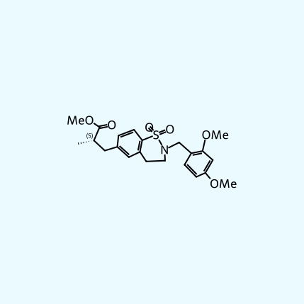 COC(=O)[C@@H](C)Cc1ccc2c(c1)CCN(Cc1ccc(OC)cc1OC)S2(=O)=O